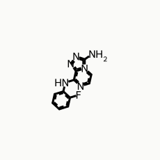 Nc1nnc2c(Nc3ccccc3F)nccn12